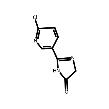 O=C1CN=C(c2ccc(Cl)nc2)N1